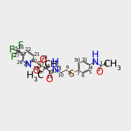 CC(=O)Nc1ccc(SCCNC(=O)C(C)(C)S(=O)(=O)c2ccc(C(F)(F)F)cn2)cc1